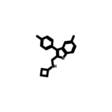 Cc1ccc(-c2c(CNC3CCC3)oc3ccc(C)cc23)cc1